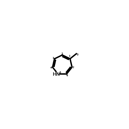 CC1=CC=CNC=C1